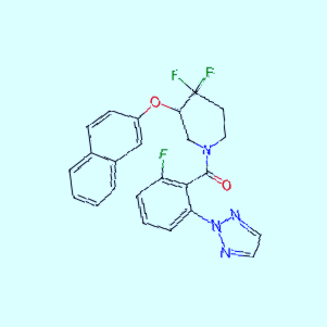 O=C(c1c(F)cccc1-n1nccn1)N1CCC(F)(F)C(Oc2ccc3ccccc3c2)C1